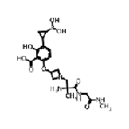 CNC(=O)CNC(=O)C(C)(N)CN1CC(Oc2ccc(C3CC3B(O)O)c(O)c2C(=O)O)C1